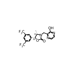 C[C@H]1[C@@H](c2cc(C(F)(F)F)cc(C(F)(F)F)c2)OC(=O)N1Cc1nccnc1O